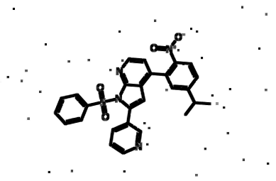 CC(C)c1ccc([N+](=O)[O-])c(-c2ccnc3c2cc(-c2cccnc2)n3S(=O)(=O)c2ccccc2)c1